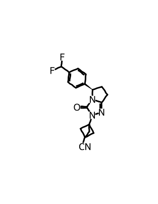 N#CC12CC(n3nc4n(c3=O)[C@@H](c3ccc(C(F)F)cc3)CC4)(C1)C2